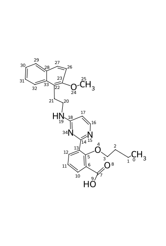 CCCCOc1c(C(=O)O)cccc1-c1nccc(NCCc2c(OC)ccc3ccccc23)n1